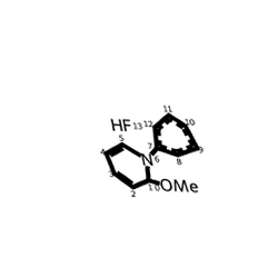 COC1C=CC=CN1c1ccccc1.F